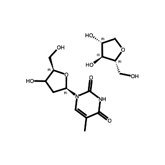 Cc1cn([C@H]2CC(O)[C@@H](CO)O2)c(=O)[nH]c1=O.OC[C@H]1O[CH][C@@H](O)[C@@H]1O